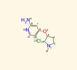 CN1CCC(Oc2cc(N)ncc2Cl)C1